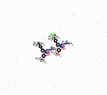 CC(C)Oc1ccc(-n2c(C(=O)O)c(CNCCN(C)C)c3cc(-c4ccc(C(C)(C)C)cc4)ccc32)cc1.CC(C)Oc1ccc(-n2c(C(=O)O)c(CNCCN(C)C)c3cc(-c4ccc(C(C)(C)C)cc4)ccc32)cc1.Cl.Cl